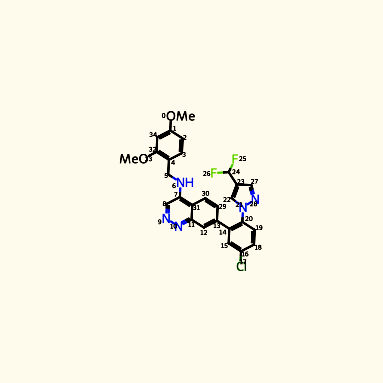 COc1ccc(CNc2cnnc3cc(-c4cc(Cl)ccc4-n4cc(C(F)F)cn4)ccc23)c(OC)c1